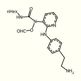 CCCCCCNC(=O)N(OC=O)c1cccnc1Nc1ccc(CCN)cc1